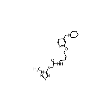 Cn1nnnc1SCC(=O)NC/C=C\COc1cc(CN2CCCCC2)ccn1